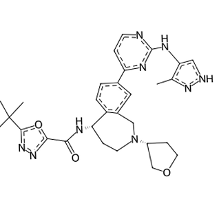 Cc1n[nH]cc1Nc1nccc(-c2ccc3c(c2)CN([C@@H]2CCOC2)CC[C@@H]3NC(=O)c2nnc(C(C)(C)C)o2)n1